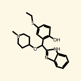 CCSc1ccc(O)c(C(OC2CCN(C)CC2)c2nc3ccccc3[nH]2)c1